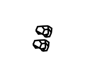 C1C2CC3C4CC5CC(C14)C(C2)C3C5.C1C2CC3C4CC5CC(C14)C(C2)C3C5